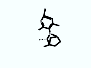 Cc1cc(C)c(N2C3CCC(C)(C3)[C@@H]2C)c(C)n1